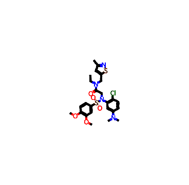 CCN(Cc1cc(C)ns1)C(=O)CN(c1cc(N(C)C)ccc1Cl)S(=O)(=O)c1ccc(OC)c(OC)c1